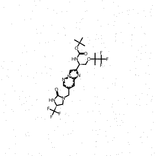 CC(C)(C)OC(=O)N[C@@H](COC(C)(C)C(F)(F)F)c1cn2ncc(CN3C[C@@H](C(F)(F)F)NC3=O)cc2n1